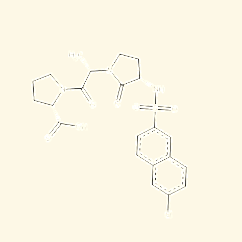 C[C@@H](C(=O)N1CCC[C@H]1C(=O)O)N1CC[C@H](NS(=O)(=O)c2ccc3cc(Cl)ccc3c2)C1=O